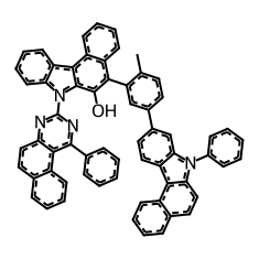 Cc1ccc(-c2ccc3c4c5ccccc5ccc4n(-c4ccccc4)c3c2)cc1-c1c(O)c2c(c3ccccc13)c1ccccc1n2-c1nc(-c2ccccc2)c2c(ccc3ccccc32)n1